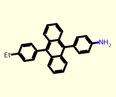 CCc1ccc(-c2c3ccccc3c(-c3ccc(N)cc3)c3ccccc23)cc1